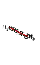 COCCOCCOCCOCCOCCOCCOCCOCCCCCC(=O)C(C)(C)C